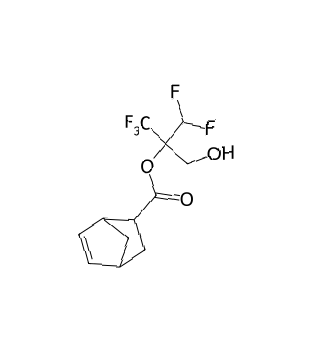 O=C(OC(CO)(C(F)F)C(F)(F)F)C1CC2C=CC1C2